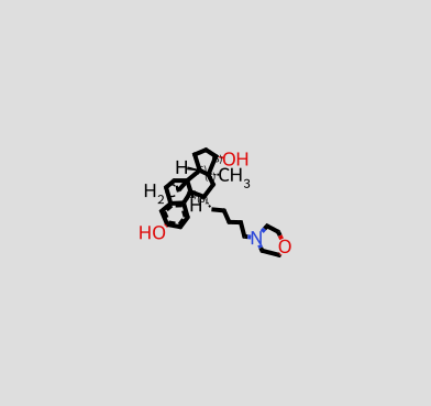 C=CC12CCc3cc(O)ccc3[C@H]1[C@@H](CCCCCN1CCOCC1)C[C@]1(C)[C@@H](O)CC[C@@H]21